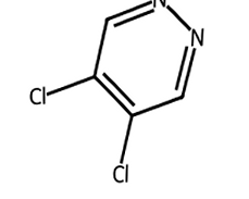 ClC1=C(Cl)C=[N+]N=C1